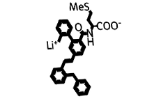 CSCC[C@H](NC(=O)c1ccc(C=Cc2ccccc2Cc2ccccc2)cc1-c1ccccc1C)C(=O)[O-].[Li+]